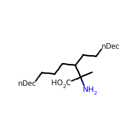 CCCCCCCCCCCCCC(CCCCCCCCCCCC)C(C)(N)C(=O)O